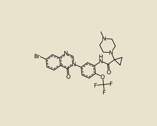 CN1CCN(C2(C(=O)Nc3cc(-n4cnc5cc(Br)ccc5c4=O)ccc3OC(F)(F)F)CC2)CC1